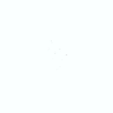 CCC(=O)c1cc2c(c(C(F)(F)F)c1)C1CCC2CC1